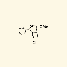 COC(=O)c1ccc(Cl)cc1N(C(C)=O)c1ccccc1